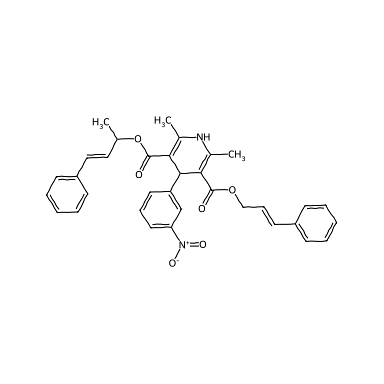 CC1=C(C(=O)OCC=Cc2ccccc2)C(c2cccc([N+](=O)[O-])c2)C(C(=O)OC(C)C=Cc2ccccc2)=C(C)N1